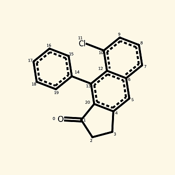 O=C1CCc2cc3cccc(Cl)c3c(-c3ccccc3)c21